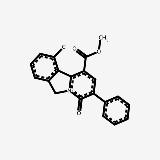 COC(=O)c1cc(-c2ccccc2)c(=O)n2c1-c1c(Cl)cccc1C2